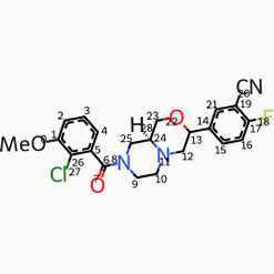 COc1cccc(C(=O)N2CCN3CC(c4ccc(F)c(C#N)c4)OC[C@@H]3C2)c1Cl